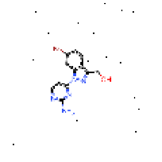 Nc1nccc(-n2nc(CO)c3ccc(Br)cc32)n1